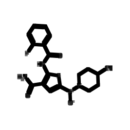 N#CC1CCN([S+]([O-])c2cc(C(N)=O)c(NC(=O)c3ccccc3F)s2)CC1